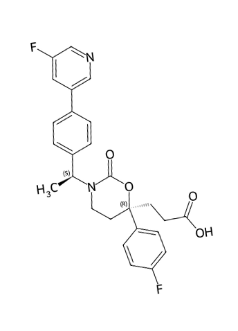 C[C@@H](c1ccc(-c2cncc(F)c2)cc1)N1CC[C@](CCC(=O)O)(c2ccc(F)cc2)OC1=O